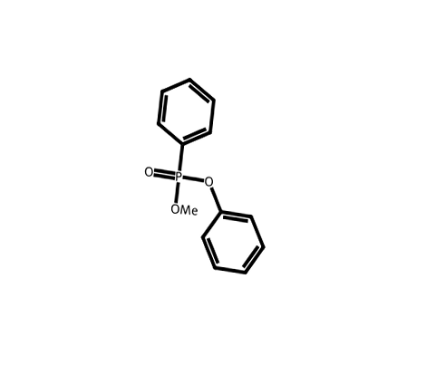 COP(=O)(Oc1ccccc1)c1ccccc1